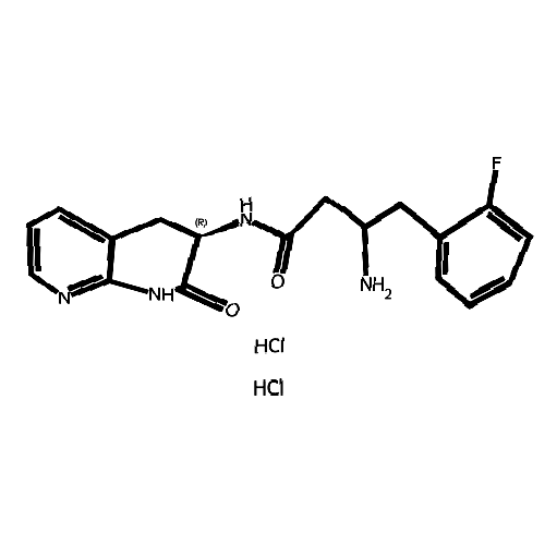 Cl.Cl.NC(CC(=O)N[C@@H]1Cc2cccnc2NC1=O)Cc1ccccc1F